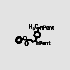 CCCCCC(CCC(=O)Oc1ccccc1)C1=CCC(C(C)CCCCC)CC1